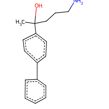 CC(O)(CCCN)c1ccc(-c2ccccc2)cc1